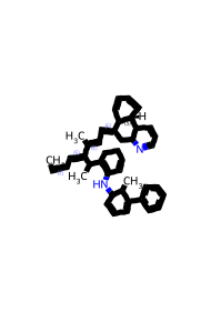 C\C=C/C=C(/C(C)=C/C=C1\CC2N=CC=CC2[C@H]2C=CC=CC12)C(C)C1=C(NC2C=CC=C(c3ccccc3)C2C)C=CCC1